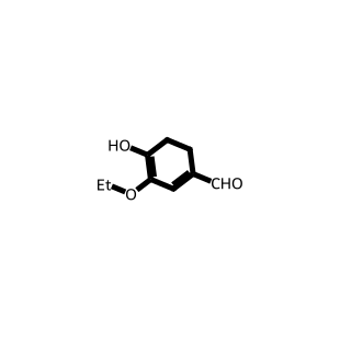 CCOC1=C(O)CCC(C=O)=C1